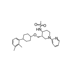 Cc1cccc(C2CCC(OC[C@@H]3CN(c4ccccn4)CCC3NS(C)(=O)=O)CC2)c1C